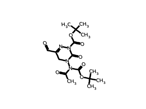 CC(=O)N(C(=O)OC(C)(C)C)N1CC(C=O)=NN(C(=O)OC(C)(C)C)C1=O